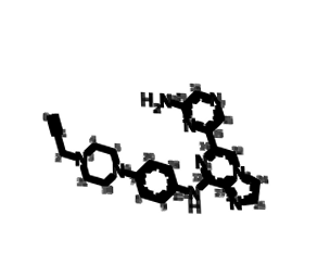 C#CCN1CCN(c2ccc(Nc3nc(-c4cncc(N)n4)cn4ccnc34)cc2)CC1